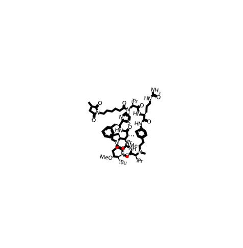 CC[C@H](C)[C@@H]([C@@H](CC(=O)N1CCC[C@H]1[C@H](OC)[C@@H](C)C(=O)N[C@@H](Cc1ccccc1)c1nccs1)OC)N(C)C(=O)[C@@H](NC(=O)[C@H](C(C)C)N(C)CCc1ccc(NC(=O)[C@H](CCCNC(N)=O)NC(=O)[C@@H](NC(=O)CCCCCN2C(=O)CC(C)C2=O)C(C)C)cc1)C(C)C